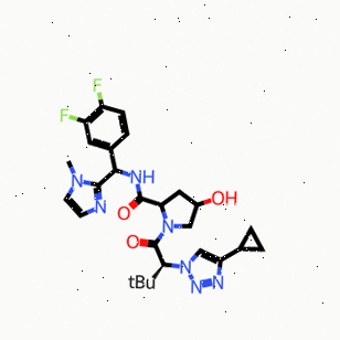 Cn1ccnc1C(NC(=O)C1CC(O)CN1C(=O)[C@@H](n1cc(C2CC2)nn1)C(C)(C)C)c1ccc(F)c(F)c1